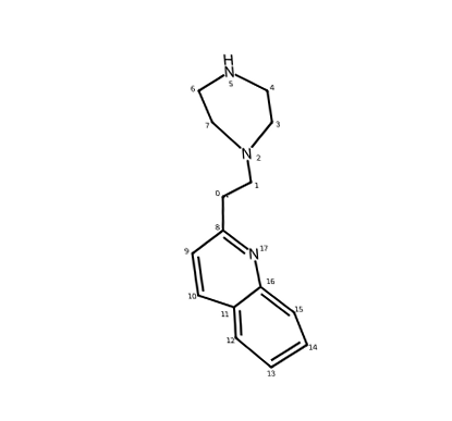 [CH](CN1CCNCC1)c1ccc2ccccc2n1